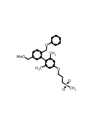 COCc1ccc(COc2ccccc2)c(-c2c(C)cc(OCCCS(C)(=O)=O)cc2C)c1